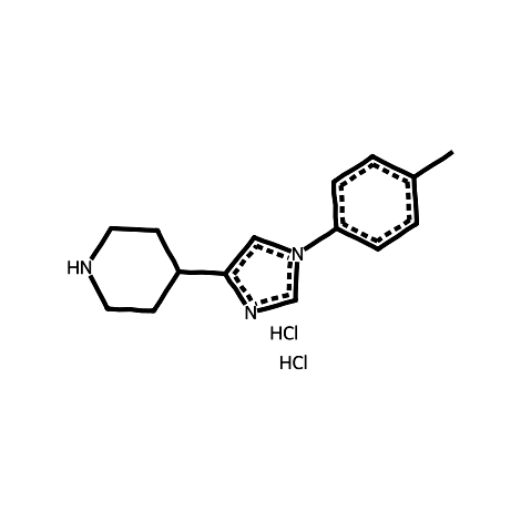 Cc1ccc(-n2cnc(C3CCNCC3)c2)cc1.Cl.Cl